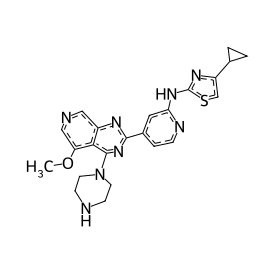 COc1cncc2nc(-c3ccnc(Nc4nc(C5CC5)cs4)c3)nc(N3CCNCC3)c12